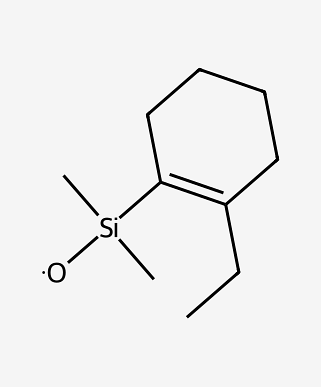 CCC1=C([Si](C)(C)[O])CCCC1